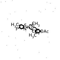 CC(=O)Oc1cc(C)cc(CN2[C@H](C)CN(c3nc4cc(F)c(C)cc4s3)C[C@@H]2C)c1